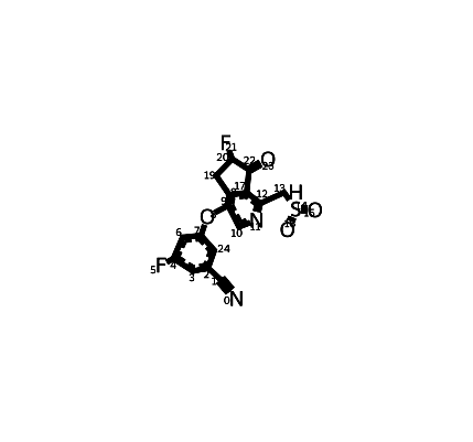 N#Cc1cc(F)cc(Oc2cnc(C[SH](=O)=O)c3c2CC(F)C3=O)c1